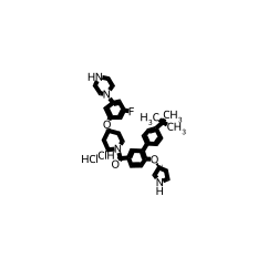 CC(C)(C)c1ccc(-c2cc(C(=O)N3CCC(Oc4cc(F)cc(N5CCNCC5)c4)CC3)ccc2O[C@H]2CCNC2)cc1.Cl.Cl